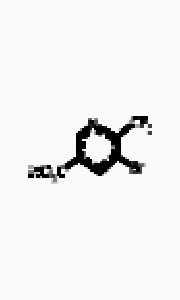 CCOC(=O)c1cnc(C(F)(F)F)c(Br)c1